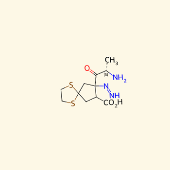 C[C@H](N)C(=O)C1(N=N)CC2(CC1C(=O)O)SCCS2